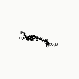 CCOC(=O)C1CN(C(=O)CCCCCNC(=O)OC2CCC3(CC)C(=CCC4C3CCC3(CC)C(C(C)CCCC(C)C)CCC43)C2)CC1=O